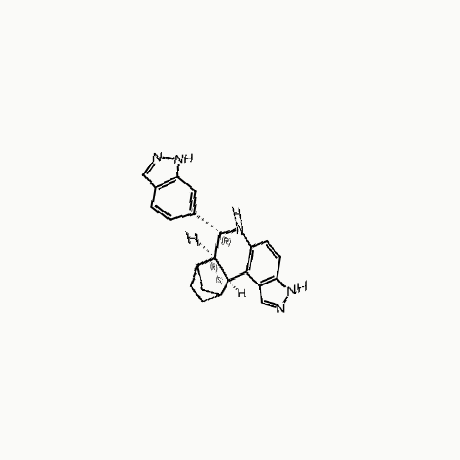 c1cc2cn[nH]c2cc1[C@@H]1Nc2ccc3[nH]ncc3c2[C@H]2C3CCC(C3)[C@@H]12